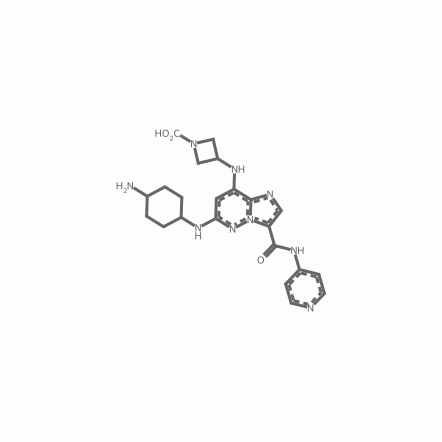 NC1CCC(Nc2cc(NC3CN(C(=O)O)C3)c3ncc(C(=O)Nc4ccncc4)n3n2)CC1